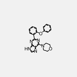 c1ccc(Oc2ccccc2-c2nc(N3CCOCC3)c3nc[nH]c3n2)cc1